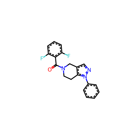 O=C(c1c(F)cccc1F)N1CCc2c(cnn2-c2ccccc2)C1